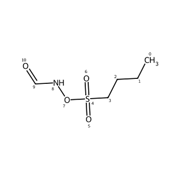 CCCCS(=O)(=O)ONC=O